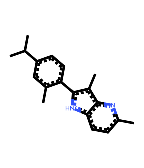 Cc1ccc2[nH]c(-c3ccc(C(C)C)cc3C)c(C)c2n1